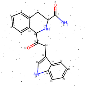 NC(=O)C1Cc2c[c]ccc2C(C(=O)Cc2c[nH]c3ccccc23)N1